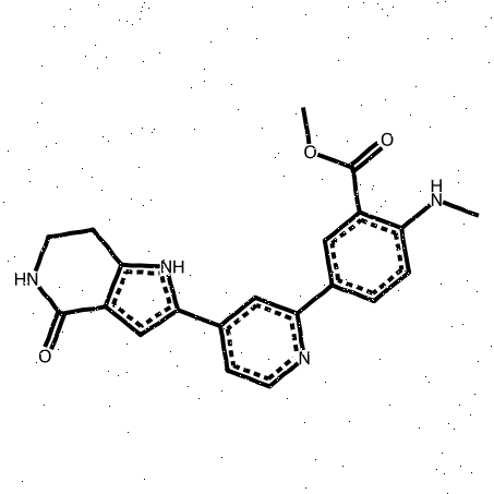 CNc1ccc(-c2cc(-c3cc4c([nH]3)CCNC4=O)ccn2)cc1C(=O)OC